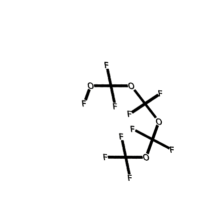 FOC(F)(F)OC(F)(F)OC(F)(F)OC(F)(F)F